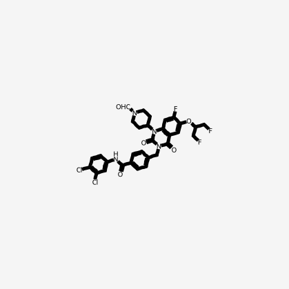 O=CN1CCC(n2c(=O)n(Cc3ccc(C(=O)Nc4ccc(Cl)c(Cl)c4)cc3)c(=O)c3cc(OC(CF)CF)c(F)cc32)CC1